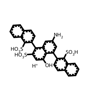 Nc1cc(-c2ccc3ccccc3c2S(=O)(=O)O)c2c(O)cc(S(=O)(=O)O)c(-c3ccc4ccccc4c3S(=O)(=O)O)c2c1.[H+]